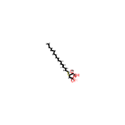 CCCCCCCCCCCCCCCCCCSC(CC(=O)O)C(=O)O